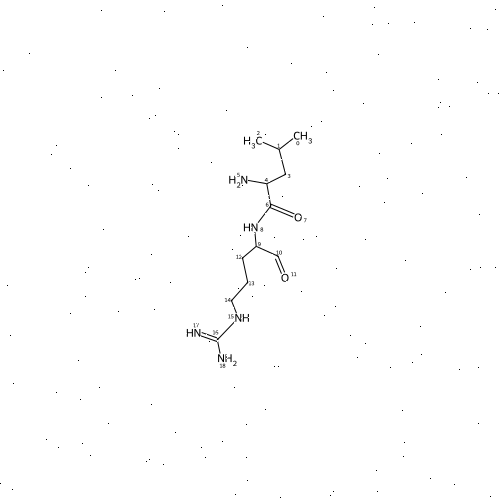 CC(C)CC(N)C(=O)NC(C=O)CCCNC(=N)N